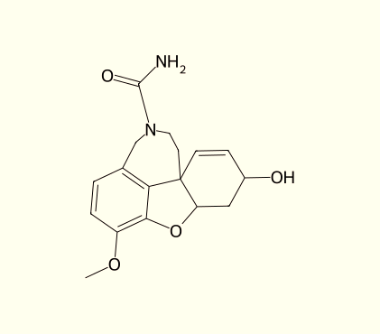 COc1ccc2c3c1OC1CC(O)C=CC31CCN(C(N)=O)C2